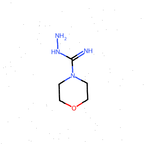 N=C(NN)N1CCOCC1